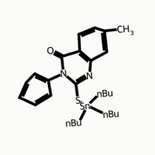 CCC[CH2][Sn]([CH2]CCC)([CH2]CCC)[S]c1nc2cc(C)ccc2c(=O)n1-c1ccccc1